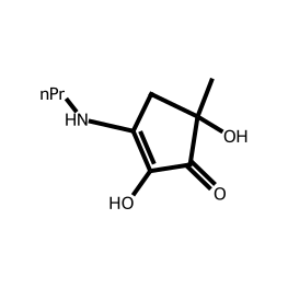 CCCNC1=C(O)C(=O)C(C)(O)C1